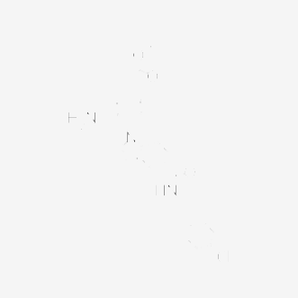 CC(C)(C)OC(=O)Cc1ccc(-n2ccc3cc(C(=O)NCCc4ccc(Cl)cc4)ccc32)c(CN)c1